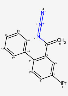 C=C(N=[N+]=[N-])c1cc(C(C)C)ccc1-c1ccccc1